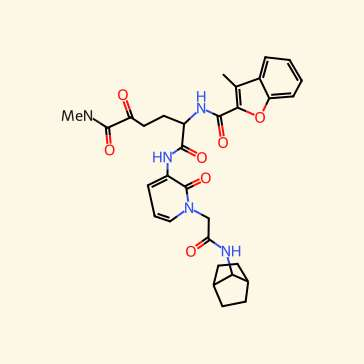 CNC(=O)C(=O)CCC(NC(=O)c1oc2ccccc2c1C)C(=O)Nc1cccn(CC(=O)NC2C3CCC2CC3)c1=O